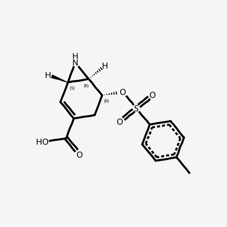 Cc1ccc(S(=O)(=O)O[C@@H]2CC(C(=O)O)=C[C@@H]3N[C@H]32)cc1